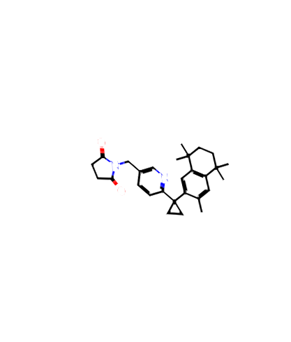 Cc1cc2c(cc1C1(c3ccc(CN4C(=O)CCC4=O)cn3)CC1)C(C)(C)CCC2(C)C